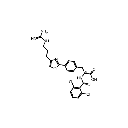 N=C(N)NCCCc1coc(-c2ccc(C[C@H](NC(=O)c3c(Cl)cccc3Cl)C(=O)O)cc2)n1